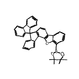 CC1(C)OB(c2cccc3c2oc2c4c(ccc23)C2(c3ccccc3-c3ccccc32)c2ccccc2-4)OC1(C)C